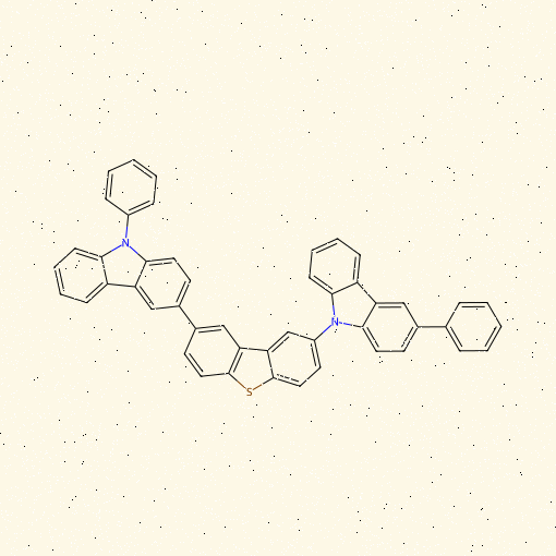 c1ccc(-c2ccc3c(c2)c2ccccc2n3-c2ccc3sc4ccc(-c5ccc6c(c5)c5ccccc5n6-c5ccccc5)cc4c3c2)cc1